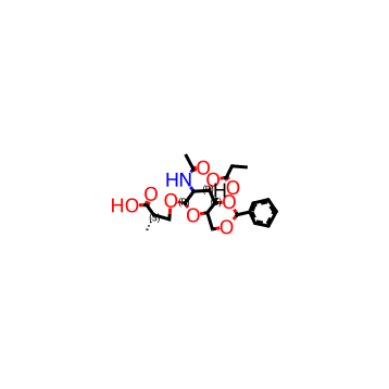 CCC(=O)O[C@@H]1C(NC(C)=O)[C@H](OC[C@H](C)C(=O)O)OC2COC(c3ccccc3)O[C@H]21